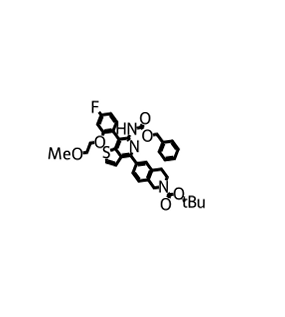 COCCOc1cc(F)ccc1-c1c(NC(=O)OCc2ccccc2)nc(-c2ccc3c(c2)CCN(C(=O)OC(C)(C)C)C3)c2ccsc12